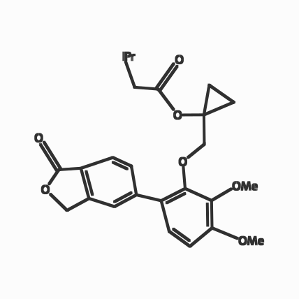 COc1ccc(-c2ccc3c(c2)COC3=O)c(OCC2(OC(=O)CC(C)C)CC2)c1OC